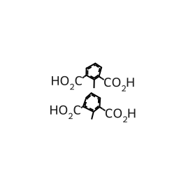 Cc1c(C(=O)O)cccc1C(=O)O.Cc1c(C(=O)O)cccc1C(=O)O